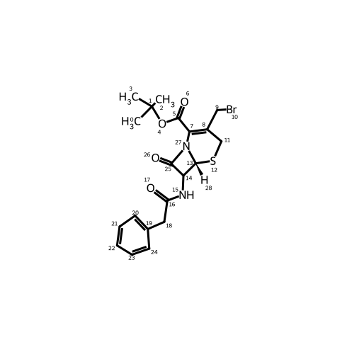 CC(C)(C)OC(=O)C1=C(CBr)CS[C@@H]2C(NC(=O)Cc3ccccc3)C(=O)N12